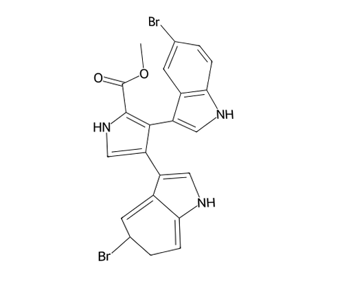 COC(=O)c1[nH]cc(-c2c[nH]c3c2=CC(Br)CC=3)c1-c1c[nH]c2ccc(Br)cc12